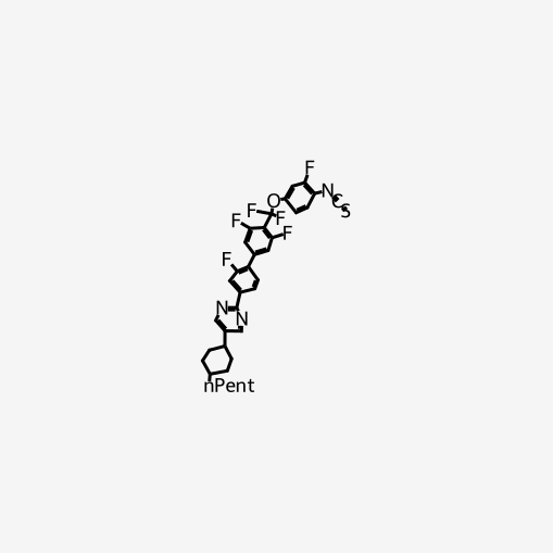 CCCCCC1CCC(c2cnc(-c3ccc(-c4cc(F)c(C(F)(F)Oc5ccc(N=C=S)c(F)c5)c(F)c4)c(F)c3)nc2)CC1